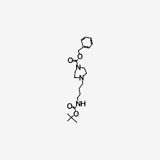 CC(C)(C)OC(=O)NCCCCN1CCN(C(=O)OCc2ccccc2)CC1